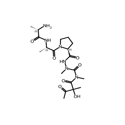 CC(=O)C(C)(O)C(=O)N(C)C(=O)N(C)NC(=O)[C@@H]1CCCN1C(=O)[C@H](C)NC(=O)[C@H](C)N